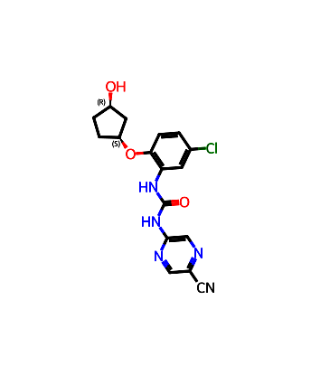 N#Cc1cnc(NC(=O)Nc2cc(Cl)ccc2O[C@H]2CC[C@@H](O)C2)cn1